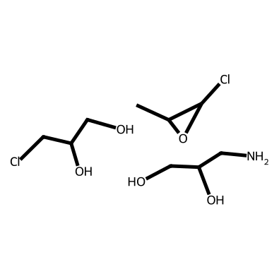 CC1OC1Cl.NCC(O)CO.OCC(O)CCl